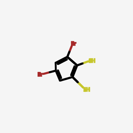 Sc1cc(Br)cc(Br)c1S